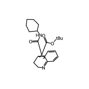 CC(C)(C)OC(=O)C1(C(=O)NC2CCCCC2)CC2CCN=C3C=CC=CC32S1